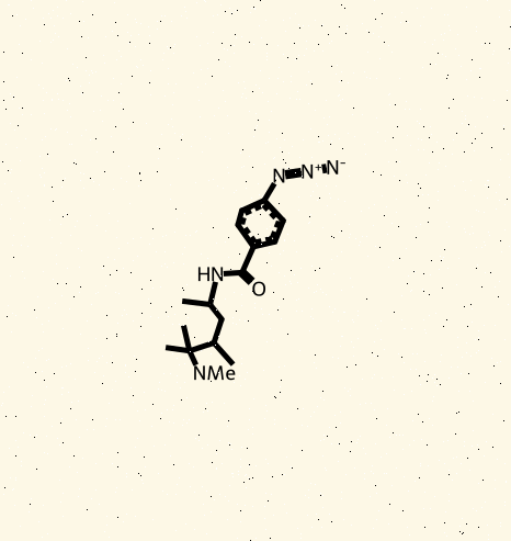 CNC(C)(C)C(C)CC(C)NC(=O)c1ccc(N=[N+]=[N-])cc1